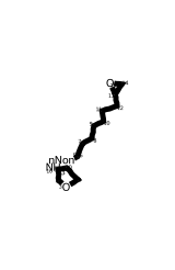 C1CCOC1.CCCCCCCCCCCCCCCCC1CO1.N